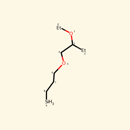 CCOC(CC)COCCC[SiH3]